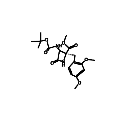 COC(=O)[C@@]1(Cc2ccc(OC)cc2OC)NC(=O)[C@H]1NC(=O)OC(C)(C)C